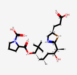 C[C@H](C[C@H](OC(=O)C1CCCN1C(=O)O)C(C)(C)C)C[C@H](O)[C@H](C)C1=NC[C@@H](CCC(=O)O)S1